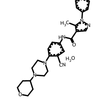 Cc1c(C(=O)Nc2ccc(N3CCN(C4CCOCC4)CC3)c(C#N)c2)cnn1-c1ccccc1.O